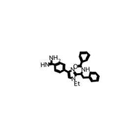 CCn1cc(-c2ccc(C(=N)N)cc2)nc1C(Cc1ccccc1)NC(=O)c1ccccc1